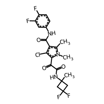 Cc1c(C(=O)Nc2ccc(F)c(F)c2)c(Cl)c(C(=O)C(=O)NC2(C)CC(F)(F)C2)n1C